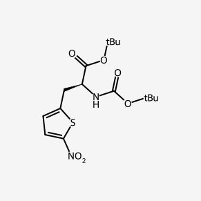 CC(C)(C)OC(=O)N[C@@H](Cc1ccc([N+](=O)[O-])s1)C(=O)OC(C)(C)C